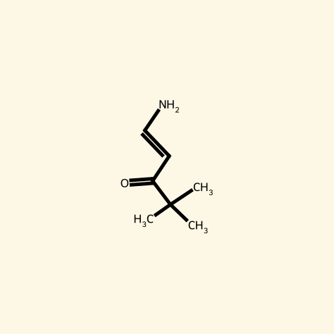 CC(C)(C)C(=O)C=CN